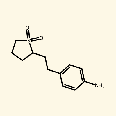 Nc1ccc(CCC2CCCS2(=O)=O)cc1